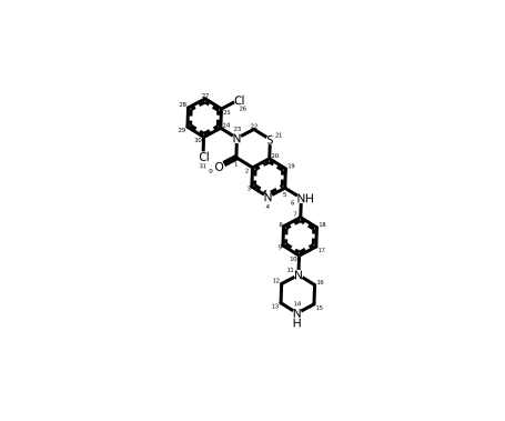 O=C1c2cnc(Nc3ccc(N4CCNCC4)cc3)cc2SCN1c1c(Cl)cccc1Cl